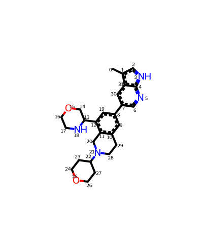 Cc1c[nH]c2ncc(-c3cc4c(c(C5COCCN5)c3)CN(C3CCOCC3)CC4)cc12